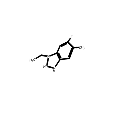 CCN1NNc2cc(C)c(F)cc21